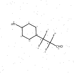 CCCC1CCC(C(F)(F)C(F)(F)C=O)CC1